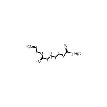 C=CCOC(=O)CNCCOC(=O)CCCCCCC